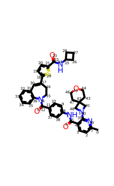 Cc1ccc(C(=O)Nc2ccc(C(=O)N3CCC(c4ccc(C(=O)NC5CCC5)s4)=Cc4ccccc43)cc2)c(N2CC3(CCOCC3)C2)n1